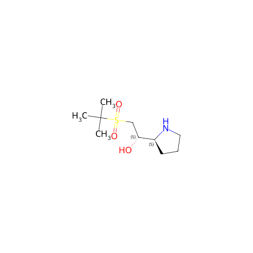 CC(C)(C)S(=O)(=O)C[C@@H](O)[C@@H]1CCCN1